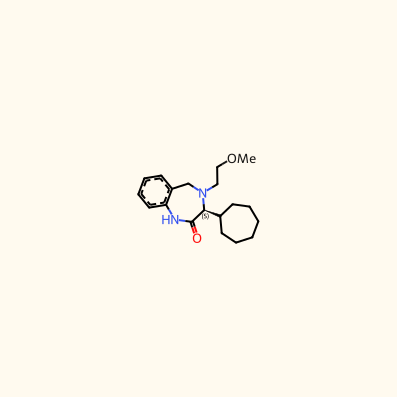 COCCN1Cc2ccccc2NC(=O)[C@@H]1C1CCCCCC1